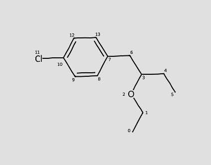 CCOC(CC)Cc1ccc(Cl)cc1